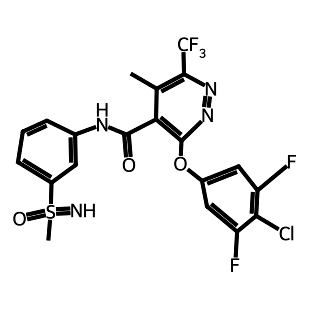 Cc1c(C(F)(F)F)nnc(Oc2cc(F)c(Cl)c(F)c2)c1C(=O)Nc1cccc(S(C)(=N)=O)c1